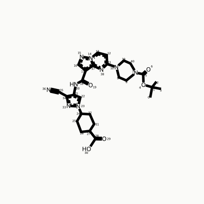 CC(C)(C)OC(=O)N1CCN(c2ccn3ncc(C(=O)Nc4cn(C5CCC(C(=O)O)CC5)nc4C#N)c3n2)CC1